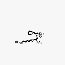 CCCCCCCCCCCCCCCOCC(COP(=O)(O)CCCN1CCCC1)OC(C)=O